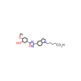 CC(C)Oc1ccc(-c2nc(-c3ccc4c(ccn4CCCCC(=O)O)c3)no2)cc1O